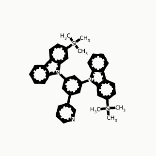 C[Si](C)(C)c1ccc2c3ccccc3n(-c3cc(-c4cccnc4)cc(-n4c5ccccc5c5ccc([Si](C)(C)C)cc54)c3)c2c1